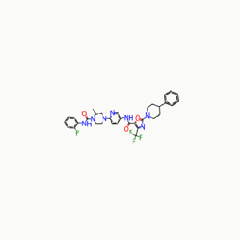 C[C@H]1CN(c2ccc(NC(=O)c3oc(N4CCC(c5ccccc5)CC4)nc3C(F)(F)F)cn2)CCN1C(=O)Nc1ccccc1F